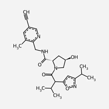 C#Cc1cnc(CNC(=O)[C@@H]2C[C@@H](O)CN2C(=O)C(c2cc(C(C)C)no2)C(C)C)c(C)c1